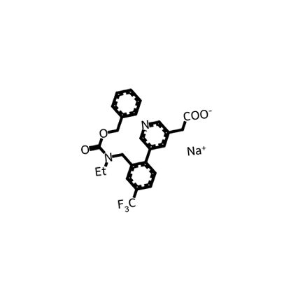 CCN(Cc1cc(C(F)(F)F)ccc1-c1cncc(CC(=O)[O-])c1)C(=O)OCc1ccccc1.[Na+]